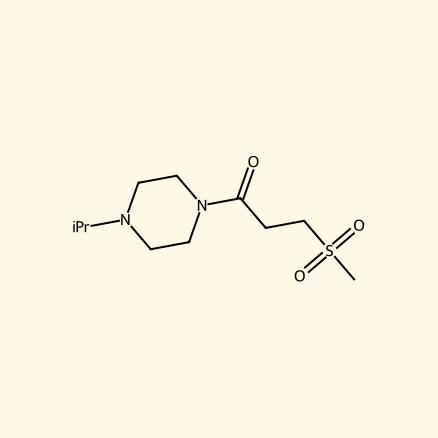 CC(C)N1CCN(C(=O)CCS(C)(=O)=O)CC1